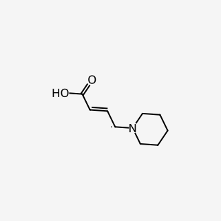 O=C(O)C=C[CH]N1CCCCC1